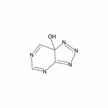 OC12C=NC=NC1=NN=N2